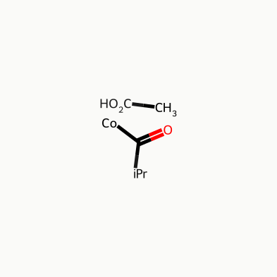 CC(=O)O.CC(C)[C](=O)[Co]